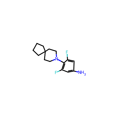 Nc1cc(F)c(N2CCC3(CCCC3)CC2)c(F)c1